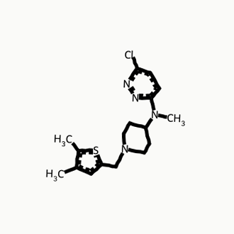 Cc1cc(CN2CCC(N(C)c3ccc(Cl)nn3)CC2)sc1C